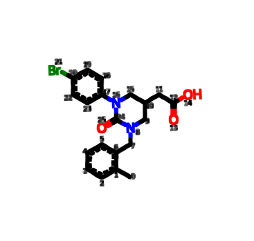 Cc1ccccc1CN1CC(CC(=O)O)CN(c2ccc(Br)cc2)C1=O